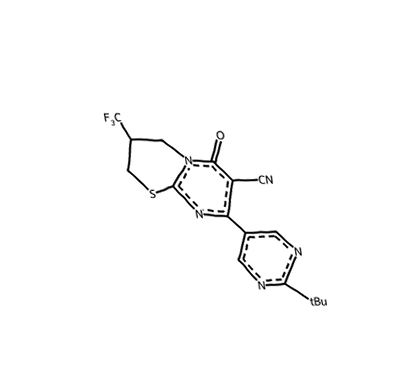 CC(C)(C)c1ncc(-c2nc3n(c(=O)c2C#N)CC(C(F)(F)F)CS3)cn1